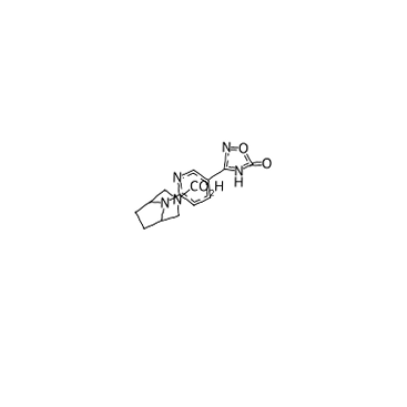 O=C(O)N1CC2CCC(C1)N2c1ccc(-c2noc(=O)[nH]2)cn1